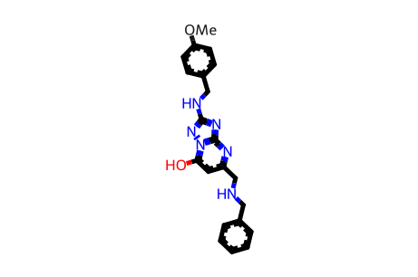 COc1ccc(CNc2nc3nc(CNCc4ccccc4)cc(O)n3n2)cc1